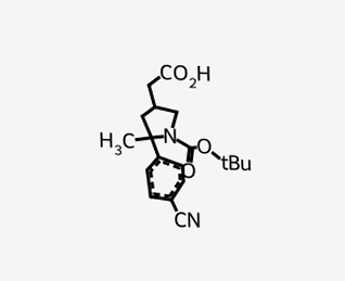 CC(C)(C)OC(=O)N1CC(CC(=O)O)CC1(C)c1ccc(C#N)cc1